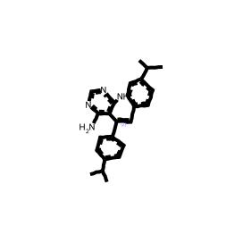 CC(C)c1ccc(/C=C(/c2ccc(C(C)C)cc2)c2c(N)ncnc2N)cc1